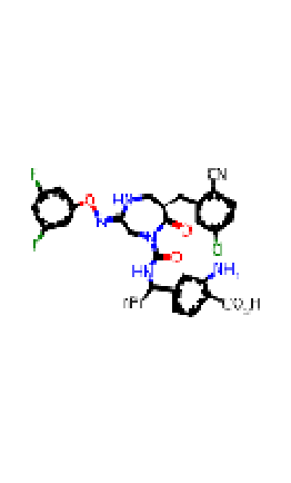 CCCC(NC(=O)N1C/C(=N/Oc2cc(F)cc(F)c2)NC[C@@H](Cc2cc(Cl)ccc2C#N)C1=O)c1ccc(C(=O)O)c(N)c1